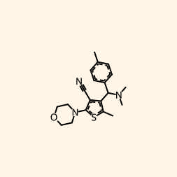 Cc1ccc(C(c2c(C)sc(N3CCOCC3)c2C#N)N(C)C)cc1